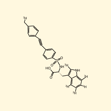 [2H]Cc1ccc(C#Cc2ccc(S(=O)(=O)N[C@H](Cc3c([2H])[nH]c4c([2H])c([2H])c([2H])c([2H])c34)C(=O)O)cc2)cc1